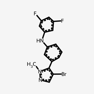 Cn1ncc(Br)c1-c1cccc(Nc2cc(F)cc(F)c2)c1